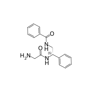 NCC(=O)N[C@H](CNC(=O)c1ccccc1)c1ccccc1